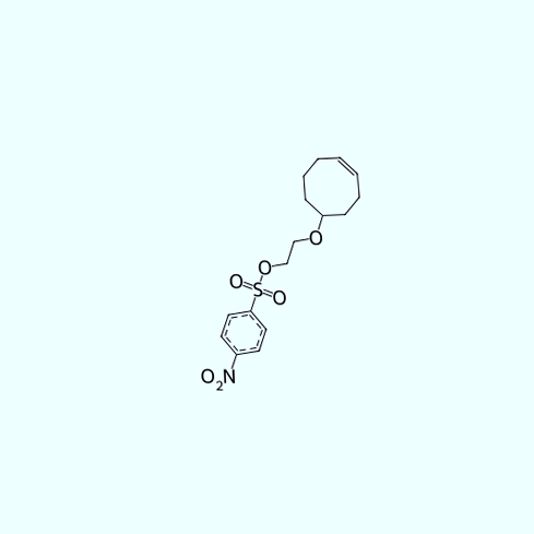 O=[N+]([O-])c1ccc(S(=O)(=O)OCCOC2CC/C=C\CCC2)cc1